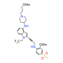 COCCCN1CCC(Nc2cccc3c2cc(C#CCNc2ccc(S(C)(=O)=O)cc2OC)n3CC(F)(F)F)CC1